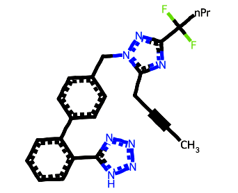 CC#CCc1nc(C(F)(F)CCC)nn1Cc1ccc(-c2ccccc2-c2nnn[nH]2)cc1